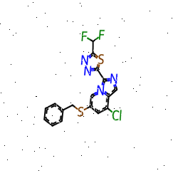 FC(F)c1nnc(-c2ncc3c(Cl)cc(SCc4ccccc4)cn23)s1